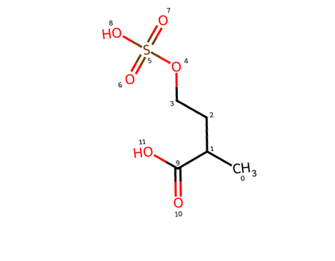 CC(CCOS(=O)(=O)O)C(=O)O